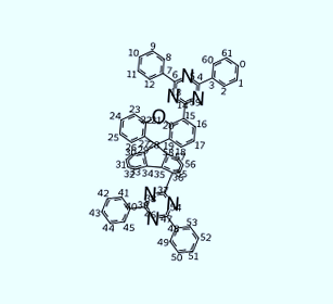 c1ccc(-c2nc(-c3ccccc3)nc(-c3cccc4c3Oc3ccccc3C43c4ccccc4-c4c(-c5nc(-c6ccccc6)nc(-c6ccccc6)n5)cccc43)n2)cc1